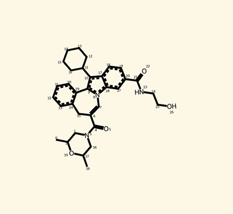 CC1CN(C(=O)C2=Cn3c(c(C4CCCCC4)c4ccc(C(=O)NCCO)cc43)-c3ccccc3C2)CC(C)O1